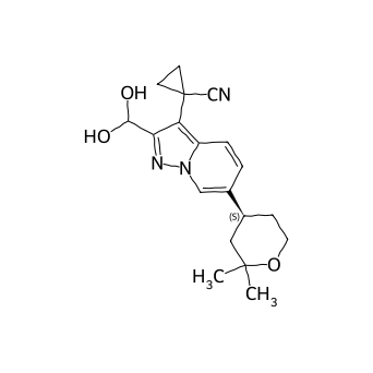 CC1(C)C[C@@H](c2ccc3c(C4(C#N)CC4)c(C(O)O)nn3c2)CCO1